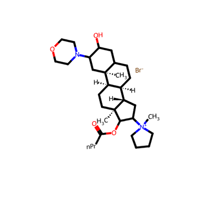 CCCC(=O)OC1C([N+]2(C)CCCC2)C[C@H]2[C@@H]3CCC4CC(O)C(N5CCOCC5)C[C@]4(C)[C@@H]3CC[C@]12C.[Br-]